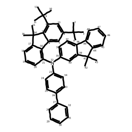 CC(C)(C)c1cc2c(c(C(C)(C)C)c1)C(C)(C)c1cccc(N(c3ccc(-c4ccccc4)cc3)c3ccc4c(c3)C(C)(C)c3ccccc3-4)c1-2